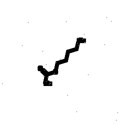 CC(C)(C)CCCCOC(=O)C(C)(C)C